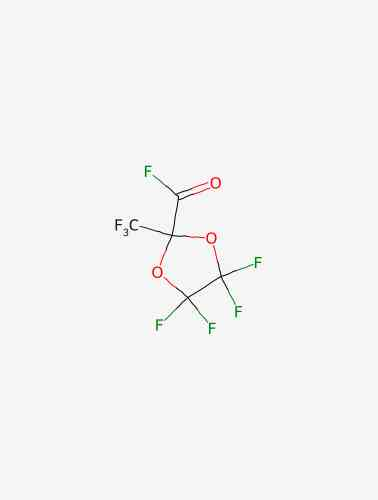 O=C(F)C1(C(F)(F)F)OC(F)(F)C(F)(F)O1